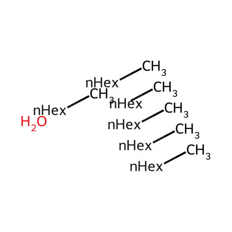 CCCCCCC.CCCCCCC.CCCCCCC.CCCCCCC.CCCCCCC.CCCCCCC.O